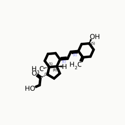 C=C1CC[C@H](O)C/C1=C/C=C1\CCC[C@]2(C)[C@@H](C(=O)CO)CC[C@@H]12